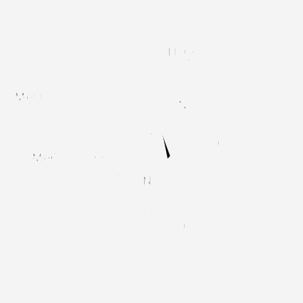 COc1cc2c(cc1OC)[C@H](CN1C(=O)c3ccccc3C1=O)N(C(=O)[C@H]1CCCC[C@H]1C(=O)O)CC2